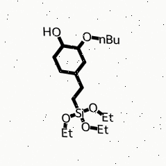 CCCCOC1CC(CC[Si](OCC)(OCC)OCC)CCC1O